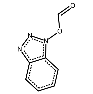 O=COn1nnc2ccccc21